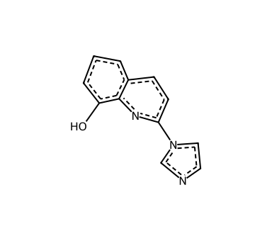 Oc1cccc2ccc(-n3ccnc3)nc12